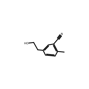 Cc1ccc(CCO)cc1C#N